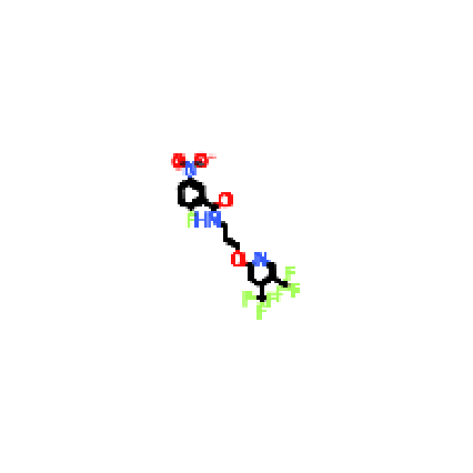 O=C(NCCCOc1cc(C(F)(F)F)c(C(F)(F)F)cn1)c1cc([N+](=O)[O-])ccc1F